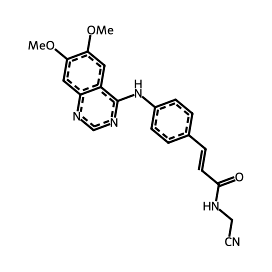 COc1cc2ncnc(Nc3ccc(C=CC(=O)NCC#N)cc3)c2cc1OC